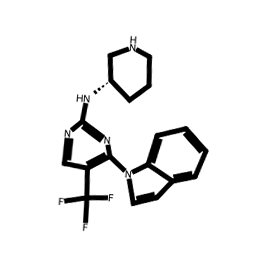 FC(F)(F)c1cnc(N[C@H]2CCCNC2)nc1-n1ccc2ccccc21